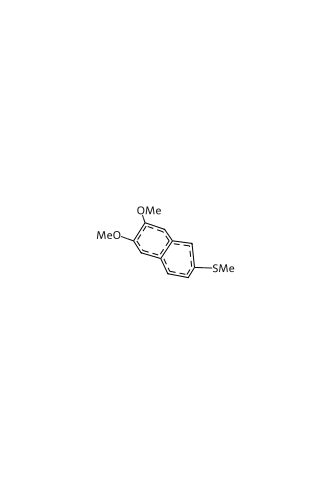 COc1cc2ccc(SC)cc2cc1OC